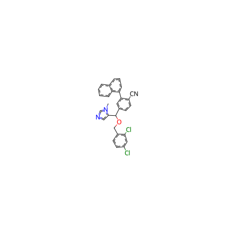 Cn1cncc1C(OCc1ccc(Cl)cc1Cl)c1ccc(C#N)c(-c2cccc3ccccc23)c1